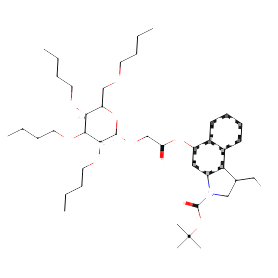 CCCCOCC1O[C@@H](OCC(=O)Oc2cc3c(c4ccccc24)C(CCl)CN3C(=O)OC(C)(C)C)[C@@H](OCCCC)C(OCCCC)[C@H]1OCCCC